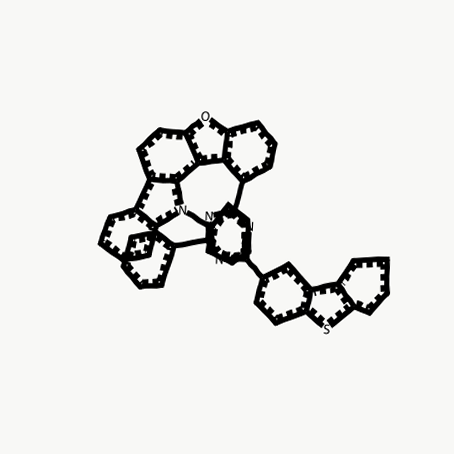 c1ccc(-c2nc(-c3ccc4sc5ccccc5c4c3)nc(-c3cccc4oc5ccc6c7ccccc7n(-c7ccccc7)c6c5c34)n2)cc1